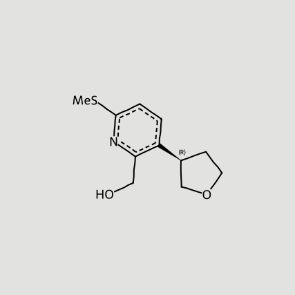 CSc1ccc([C@H]2CCOC2)c(CO)n1